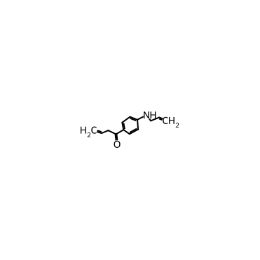 C=CCNc1ccc(C(=O)CC=C)cc1